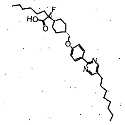 CCCCCCCCc1cnc(-c2ccc(OC[C@H]3CC[C@H]([C@@](F)(CCCCCC)C(=O)O)CC3)cc2)nc1